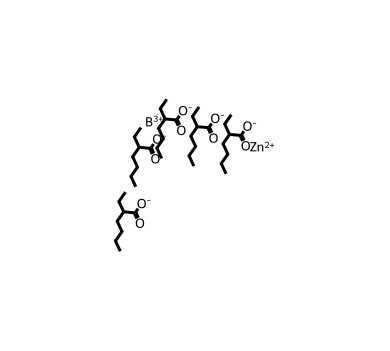 CCCCC(CC)C(=O)[O-].CCCCC(CC)C(=O)[O-].CCCCC(CC)C(=O)[O-].CCCCC(CC)C(=O)[O-].CCCCC(CC)C(=O)[O-].[B+3].[Zn+2]